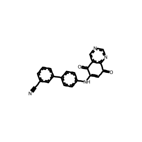 N#Cc1cccc(-c2ccc(NC3=CC(=O)c4ncncc4C3=O)cc2)c1